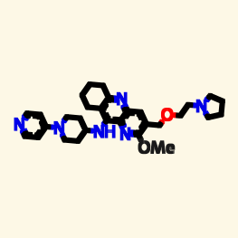 COc1nc2c(NC3CCN(c4ccncc4)CC3)c3c(nc2cc1COCCN1CCCC1)CCCC3